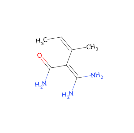 C/C=C(/C)C(C(N)=O)=C(N)N